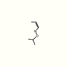 C/C=C\[N]OC(C)C